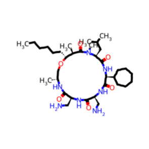 CCCCCC[C@H]1OC[C@@H](C)NC(=O)[C@H](CN)NC(=O)[C@H](CN)NC(=O)[C@H](C2CCCCCC2)NC(=O)[C@H](CC(C)C)N(C)C(=O)[C@@H]1C